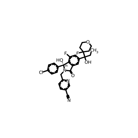 CCC(O)(c1cc(F)c2c(c1)C(=O)N(Cc1ccc(C#N)cn1)[C@@]2(O)c1ccc(Cl)cc1)C1(F)CCOCC1